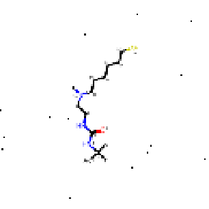 CC(=O)C(C)(C)NC(=O)NCCN(C)CCCCCCS